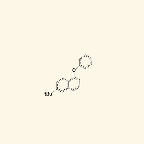 CC(C)(C)c1ccc2c(Oc3ccccc3)cccc2c1